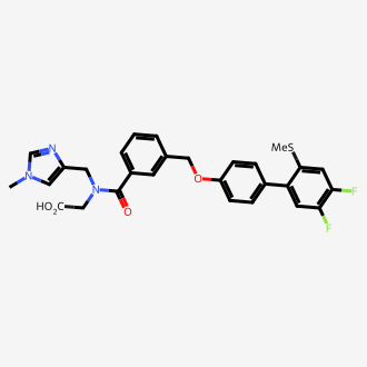 CSc1cc(F)c(F)cc1-c1ccc(OCc2cccc(C(=O)N(CC(=O)O)Cc3cn(C)cn3)c2)cc1